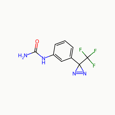 NC(=O)Nc1cccc(C2(C(F)(F)F)N=N2)c1